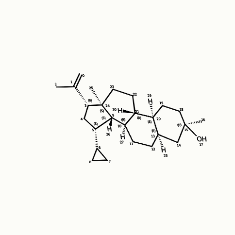 C=C(C)[C@H]1C[C@@H](C2CC2)[C@H]2[C@@H]3CC[C@@H]4C[C@](C)(O)CC[C@@H]4[C@H]3CC[C@@]21C